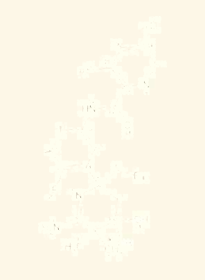 CC1(C)C(N)=N[C@@](CF)(c2cc(NC(=O)c3ncc(Cl)cc3F)ccc2F)CS1(O)O